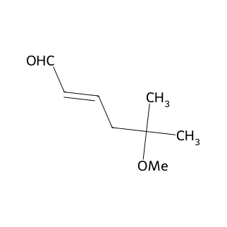 COC(C)(C)CC=CC=O